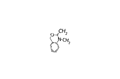 C=C1OCc2ccccc2N1C